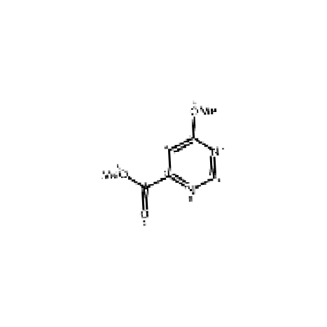 COC(=O)c1cc(OC)ncn1